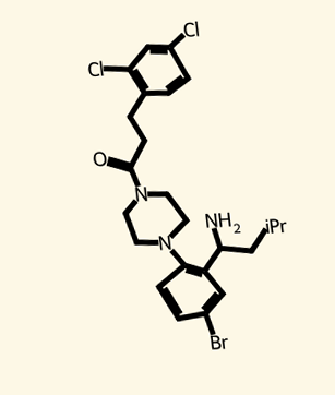 CC(C)CC(N)c1cc(Br)ccc1N1CCN(C(=O)CCc2ccc(Cl)cc2Cl)CC1